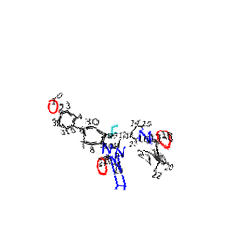 COc1ccc(-c2ccc(-n3c(C[C@@H]4CCN(C(=O)C(C)(C)C)C4)n[nH]c3=O)c(F)c2)cc1